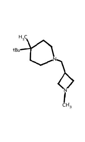 CN1CC(CN2CCC(C)(C(C)(C)C)CC2)C1